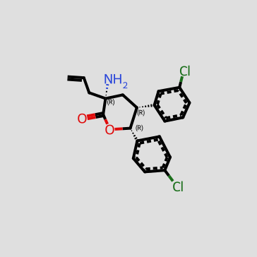 C=CC[C@@]1(N)C[C@H](c2cccc(Cl)c2)[C@H](c2ccc(Cl)cc2)OC1=O